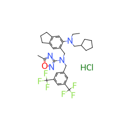 CCN(CC1CCCC1)c1cc2c(cc1CN(Cc1cc(C(F)(F)F)cc(C(F)(F)F)c1)c1noc(C)n1)CCC2.Cl